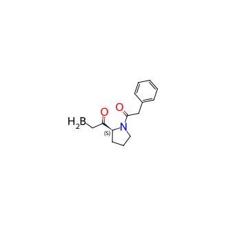 BCC(=O)[C@@H]1CCCN1C(=O)Cc1ccccc1